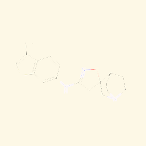 Cc1csc2cc(NC3=NOC4(C3)CN3CCC4CC3)ccc12